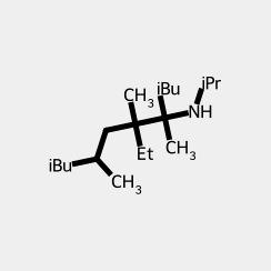 CCC(C)C(C)CC(C)(CC)C(C)(NC(C)C)C(C)CC